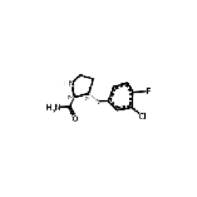 NC(=O)[C@H]1NCC[C@@H]1[CH]c1ccc(F)c(Cl)c1